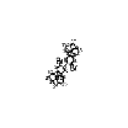 Brc1cc2c(cc1-c1cc3c(cc1Br)C1CC4CC5CC3CC45C1)C1CC3CC4CC2CC43C1